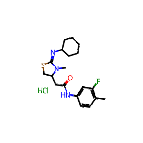 Cc1ccc(NC(=O)CC2CSC(=NC3CCCCC3)N2C)cc1F.Cl